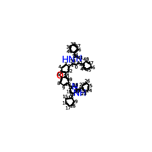 C1=C(c2ccc3oc4ccc(C5C=C(c6ccccc6)NC(c6ccccc6)=N5)cc4c3c2)NC(c2ccccc2)=NC1c1ccccc1